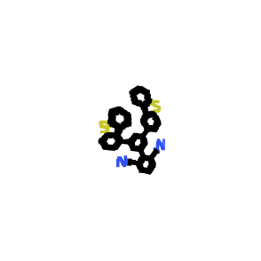 N#Cc1cccc(C#N)c1-c1cc(-c2ccc3sc4ccccc4c3c2)cc(-c2cccc3sc4ccccc4c23)c1